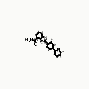 NC(=O)c1cccc2nc(-c3ccc(-c4ccccn4)cc3F)oc12